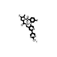 CC1C(F)CC(C(=O)NCc2cc(-c3cnc(C(F)(F)F)nc3)ncc2Cl)N1S(=O)(=O)c1ccc(F)cc1